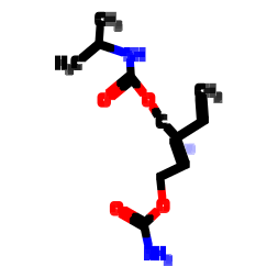 C=C/C(=C/COC(N)=O)COC(=O)NC(C)C